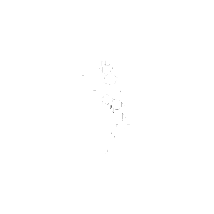 COc1nc(N[C@@H]2CCN(C3COC3)CC2(F)F)nn2cc(F)c(-c3ccc4nnn([C@@H](C)C(F)F)c4c3)c12